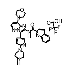 O=C(Nc1nc2c(N3CCOCC3)ccnn2c1-c1ccc(N2CCNCC2)nc1)c1ccc2ccccc2n1.O=C(O)C(F)(F)F